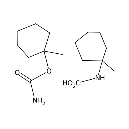 CC1(NC(=O)O)CCCCC1.CC1(OC(N)=O)CCCCC1